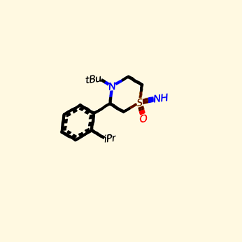 CC(C)c1ccccc1C1CS(=N)(=O)CCN1C(C)(C)C